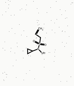 C=CCS(=O)(=O)N(CCC)C1CC1